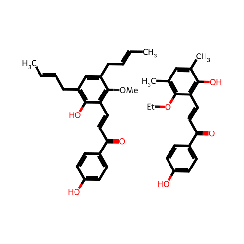 CC=CCc1cc(CC=CC)c(OC)c(C=CC(=O)c2ccc(O)cc2)c1O.CCOc1c(C)cc(C)c(O)c1C=CC(=O)c1ccc(O)cc1